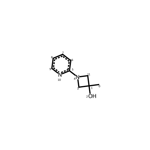 CC1(O)CN(c2[c]cccn2)C1